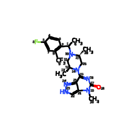 CC(c1ccc(F)cc1C(F)(F)F)N1C[C@H](C)N(c2nc(=O)n(C)c3c[nH]nc23)C[C@H]1C